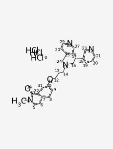 Cl.Cl.Cl.Cn1ccc2ccc(OCCCN(CCc3cccnc3)Cc3ccncc3)cc2c1=O